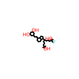 CC(C)(O)CCC[C@](C)(C/C=C/C(C)(O)CF)C1CCC2/C(=C/C=C3C[C@@H](O)C[C@H](O)C3)CCC[C@@]21C